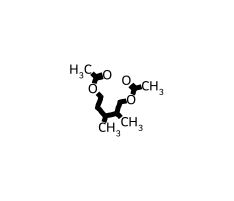 CC(=O)OCCC(C)C(C)COC(C)=O